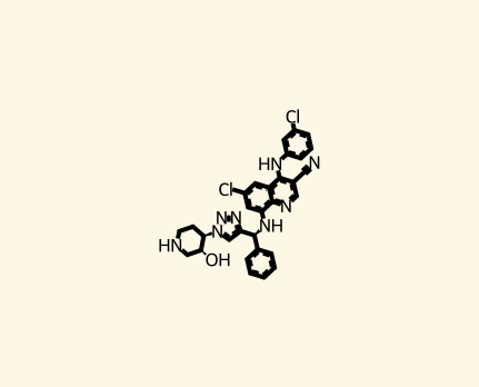 N#Cc1cnc2c(N[C@@H](c3ccccc3)c3cn([C@@H]4CCNC[C@H]4O)nn3)cc(Cl)cc2c1Nc1cccc(Cl)c1